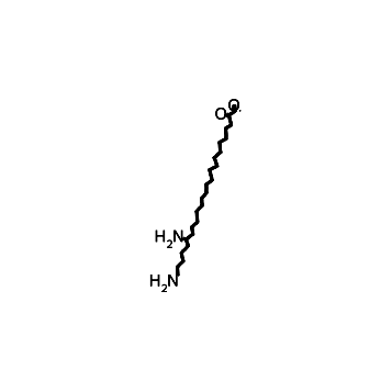 NCCCCCC(N)CCCCCCCCCCCCCCCCCC(=O)[C]=O